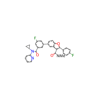 CNC(=O)c1c(-c2ccc(F)cc2)oc2ccc(-c3cc(F)cc(C(=O)N(c4ccccn4)C4CC4)c3)cc12